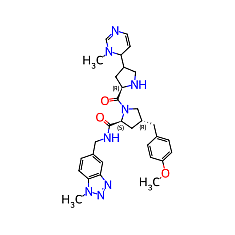 COc1ccc(C[C@@H]2C[C@@H](C(=O)NCc3ccc4c(c3)nnn4C)N(C(=O)[C@H]3CC(C4C=CN=CN4C)CN3)C2)cc1